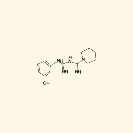 N=C(NC(=N)N1CCCCC1)Nc1cccc(O)c1